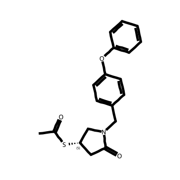 CC(=O)S[C@H]1CC(=O)N(Cc2ccc(Oc3ccccc3)cc2)C1